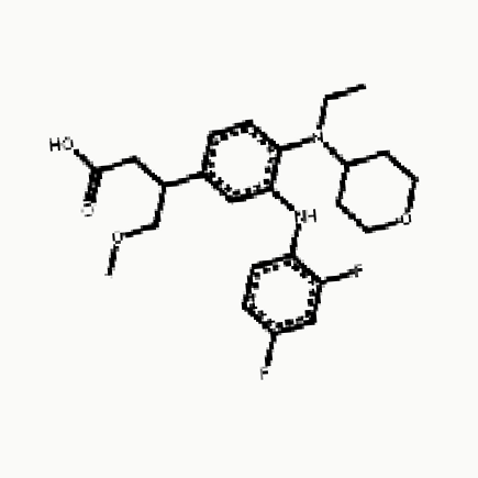 CCN(c1ccc(C(COC)CC(=O)O)cc1Nc1ccc(F)cc1F)C1CCOCC1